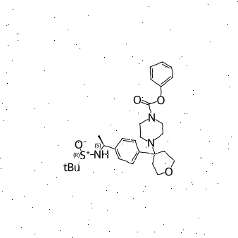 C[C@H](N[S@@+]([O-])C(C)(C)C)c1ccc(C2(N3CCN(C(=O)Oc4ccccc4)CC3)CCOCC2)cc1